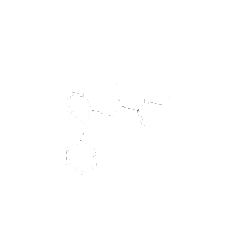 CCNC(=O)C(Cc1nnnn1-c1ccccc1)SC